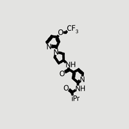 CC(C)C(=O)Nc1cc(C(=O)NC2CCN(c3cc(OCC(F)(F)F)ccn3)C2)ccn1